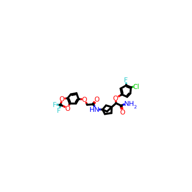 NC(=O)C(Oc1ccc(Cl)c(F)c1)C12CCC(NC(=O)COc3ccc4c(c3)OC(F)(F)O4)(C1)C2